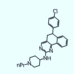 CCCN1CCC(Nc2ncc3c(n2)-c2ccccc2C(c2ccc(Cl)cc2)C3)CC1